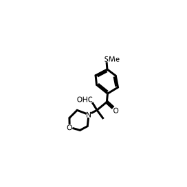 CSc1ccc(C(=O)C(C)(C=O)N2CCOCC2)cc1